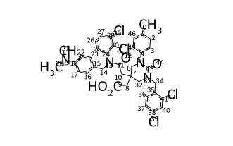 Cc1ccc(N2CC(CC(=O)O)(CC(=O)N(Cc3ccc(N(C)C)cc3)c3cccc(Cl)c3Cl)CN(Cc3ccc(Cl)cc3Cl)C2=O)cc1